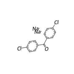 O=C(c1ccc(Cl)cc1)c1ccc(Cl)cc1.[Na].[Na]